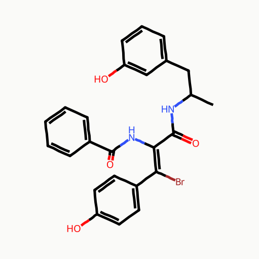 CC(Cc1cccc(O)c1)NC(=O)/C(NC(=O)c1ccccc1)=C(\Br)c1ccc(O)cc1